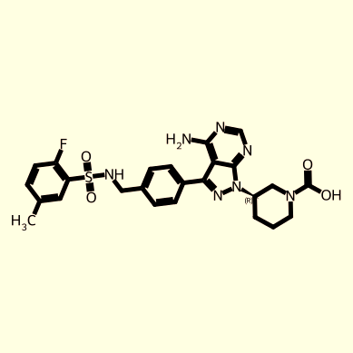 Cc1ccc(F)c(S(=O)(=O)NCc2ccc(-c3nn([C@@H]4CCCN(C(=O)O)C4)c4ncnc(N)c34)cc2)c1